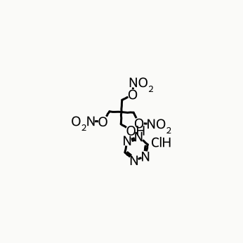 Cl.O=[N+]([O-])OCC(CO)(CO[N+](=O)[O-])CO[N+](=O)[O-].c1nncnn1